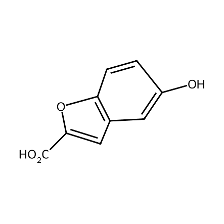 O=C(O)c1cc2cc(O)ccc2o1